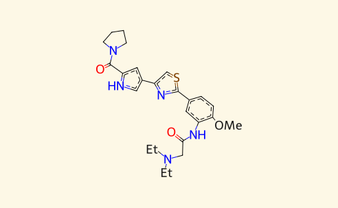 CCN(CC)CC(=O)Nc1cc(-c2nc(-c3c[nH]c(C(=O)N4CCCC4)c3)cs2)ccc1OC